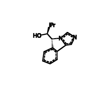 CC(C)[C@H](O)[C@H]1c2ccccc2-c2cncn21